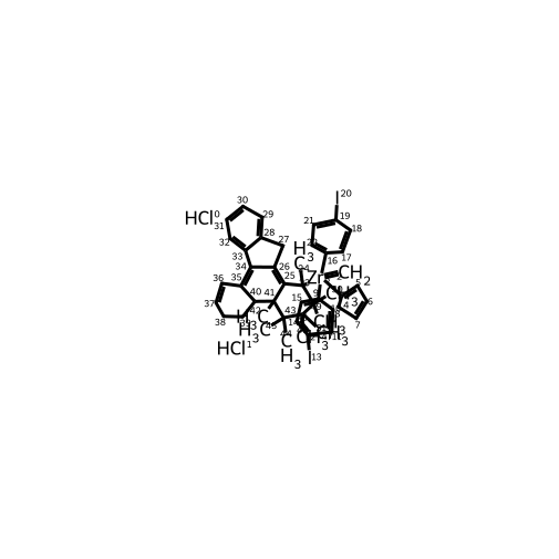 Cl.Cl.[CH2]=[Zr]([C]1=CC=CC1)([c]1ccc(I)cc1)([c]1ccc(I)cc1)[C]1(C)C2=C3Cc4ccccc4C3=C3C=CCCC3C2(C)C(C)(C)C(C)(C)C1(C)C